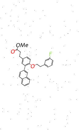 COC(=O)CCc1ccc(OCCc2cccc(F)c2)c(-c2ccc3ccccc3c2)c1